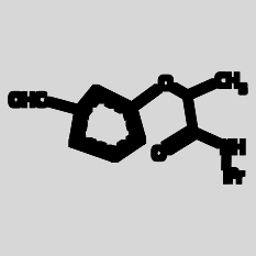 CC(C)NC(=O)C(C)Oc1cccc(C=O)c1